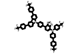 FC(F)(F)c1ccc(-c2ccc(N(c3ccc(C(F)(F)F)cc3)c3ccc(-c4ccc(-n5c6ccc(-c7ccc(C(F)(F)F)cc7)cc6c6cc(-c7ccc(C(F)(F)F)cc7)ccc65)cc4)c4nsnc34)cc2)cc1